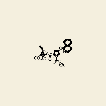 C=C[C@@H]1C[C@]1(NC(=O)[C@@H]1CC(Oc2nccc3ccccc23)CN1C(=O)OC(C)(C)C)C(=O)OCC